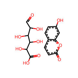 O=CC(O)C(O)C(O)C(O)C(=O)O.O=c1ccc2ccc(O)cc2o1